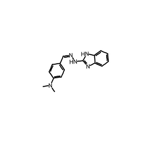 CN(C)c1ccc(/C=N\Nc2nc3ccccc3[nH]2)cc1